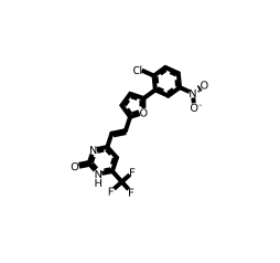 O=c1nc(C=Cc2ccc(-c3cc([N+](=O)[O-])ccc3Cl)o2)cc(C(F)(F)F)[nH]1